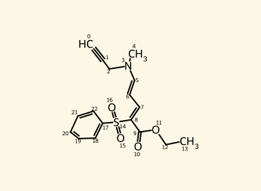 C#CCN(C)/C=C/C=C(/C(=O)OCC)S(=O)(=O)c1ccccc1